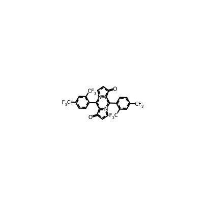 O=c1ccn2c(-c3ccc(C(F)(F)F)cc3C(F)(F)F)c3c(=O)ccn3c(-c3ccc(C(F)(F)F)cc3C(F)(F)F)c12